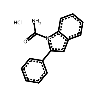 Cl.NC(=O)n1c(-c2ccccc2)cc2ccccc21